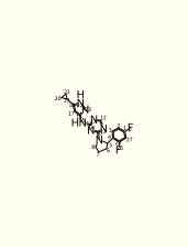 Fc1ccc(C2CCCN2c2ncnc(Nc3cc(C4CC4)[nH]n3)n2)c(F)c1